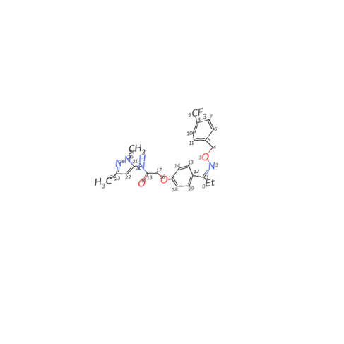 CCC(=NOCc1ccc(C(F)(F)F)cc1)c1ccc(OCC(=O)Nc2cc(C)nn2C)cc1